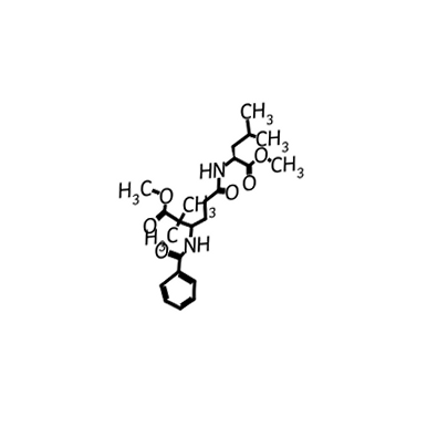 COC(=O)[C@H](CC(C)C)NC(=O)CCC(NC(=O)c1ccccc1)C(C)(C)C(=O)OC